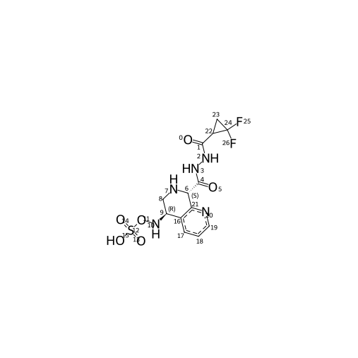 O=C(NNC(=O)[C@H]1NC[C@H](NOS(=O)(=O)O)c2cccnc21)C1CC1(F)F